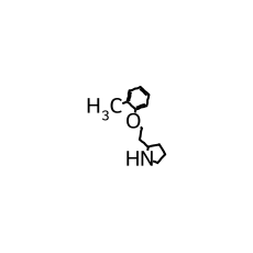 Cc1ccccc1OCCC1CCCN1